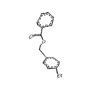 CCc1ccc(COC(=O)c2ccccc2)cc1